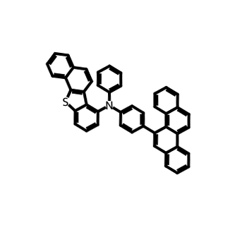 c1ccc(N(c2ccc(-c3cc4ccccc4c4ccc5ccccc5c34)cc2)c2cccc3sc4c5ccccc5ccc4c23)cc1